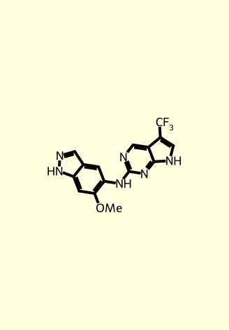 COc1cc2[nH]ncc2cc1Nc1ncc2c(C(F)(F)F)c[nH]c2n1